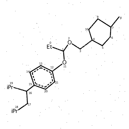 CCC(OCC1CCC(C)CC1)Oc1ccc(C(CC(C)C)C(C)C)cc1